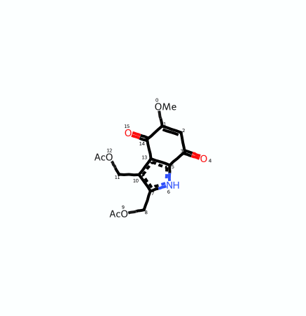 COC1=CC(=O)c2[nH]c(COC(C)=O)c(COC(C)=O)c2C1=O